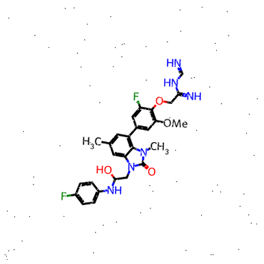 COc1cc(-c2cc(C)cc3c2n(C)c(=O)n3CC(O)Nc2ccc(F)cc2)cc(F)c1OCC(=N)NC=N